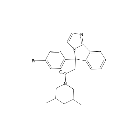 CC1CC(C)CN(C(=O)CC2(c3ccc(Br)cc3)c3ccccc3-c3nccn32)C1